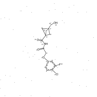 O=C(COc1ccc(Cl)c(F)c1)NC(=O)C12CC(CO)(C1)C2